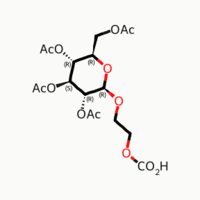 CC(=O)OC[C@H]1O[C@@H](OCCOC(=O)O)[C@H](OC(C)=O)[C@@H](OC(C)=O)[C@@H]1OC(C)=O